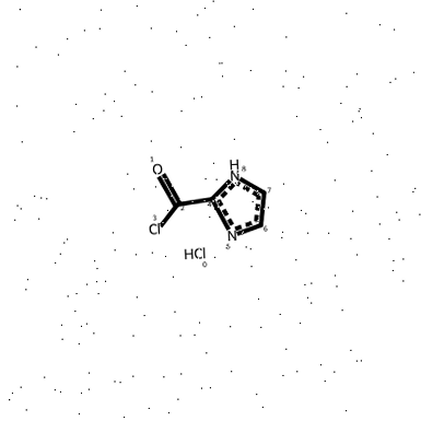 Cl.O=C(Cl)c1ncc[nH]1